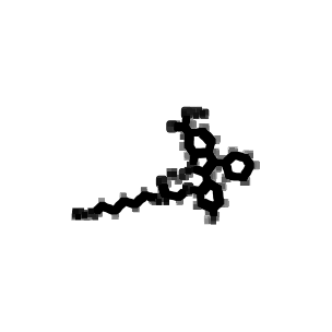 CNCCCCCNC(=O)COc1cc(F)ccc1-c1c(C2CCCCC2)c2ccc(C(=O)OC)cc2n1C